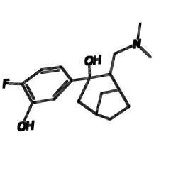 CN(C)CC1C2CCC(C2)CC1(O)c1ccc(F)c(O)c1